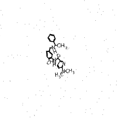 Cc1ccc(CN[C@H](C)c2ccccc2)cc1NC(=O)c1ccc(N(C)C)nc1